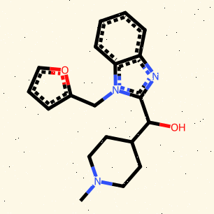 CN1CCC(C(O)c2nc3ccccc3n2Cc2ccco2)CC1